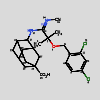 CC(C)(OCc1ccc(Cl)cc1Cl)/C(=N\C#N)NC1C2CC3CC1CC(C(=O)O)(C3)C2